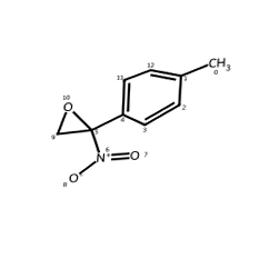 Cc1ccc(C2([N+](=O)[O-])CO2)cc1